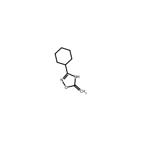 C=C1NC(C2CCCCC2)=NO1